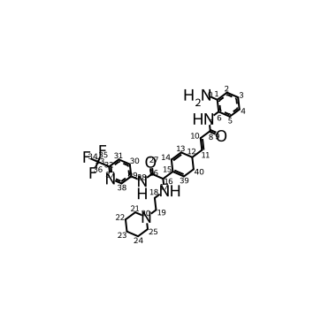 Nc1ccccc1NC(=O)/C=C/C1C=CC(C(NCCN2CCCCC2)C(=O)Nc2ccc(C(F)(F)F)nc2)=CC1